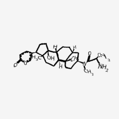 C[C@@H](N)C(=O)N(C)[C@H]1CC[C@@]2(C)[C@H](CC[C@@H]3[C@@H]2CC[C@]2(C)[C@@H](c4ccc(=O)oc4)CC[C@]32O)C1